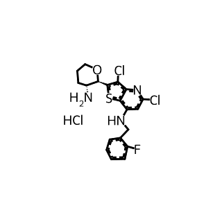 Cl.N[C@@H]1CCCO[C@H]1c1sc2c(NCc3ccccc3F)cc(Cl)nc2c1Cl